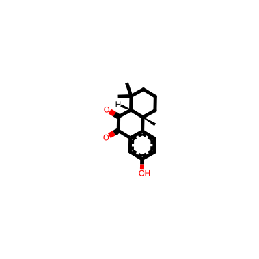 CC1(C)CCC[C@]2(C)c3ccc(O)cc3C(=O)C(=O)[C@H]12